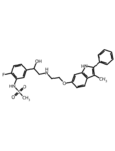 Cc1c(-c2ccccc2)[nH]c2cc(OCCNCC(O)c3ccc(F)c(NS(C)(=O)=O)c3)ccc12